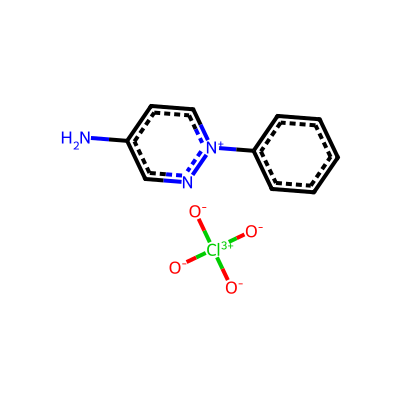 Nc1cc[n+](-c2ccccc2)nc1.[O-][Cl+3]([O-])([O-])[O-]